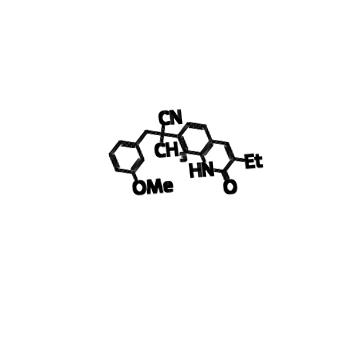 CCc1cc2ccc(C(C)(C#N)Cc3cccc(OC)c3)cc2[nH]c1=O